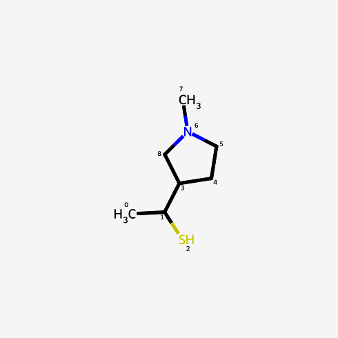 CC(S)C1CCN(C)C1